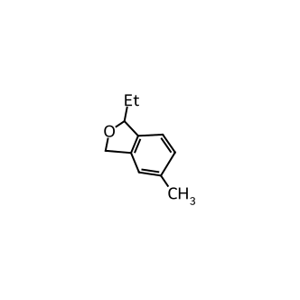 CCC1OCc2cc(C)ccc21